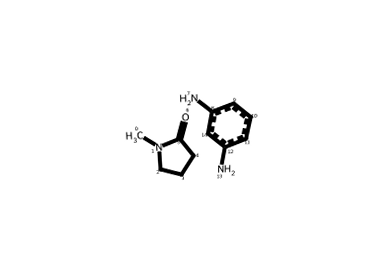 CN1CCCC1=O.Nc1cccc(N)c1